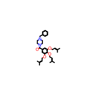 CC(C)=CCOc1cc(C(=O)N2CCN(Cc3ccccc3)CC2)cc(OCC=C(C)C)c1OCC=C(C)C